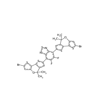 CC1(C)Oc2cc(Br)sc2-c2sc(-c3c(F)c(F)c(-c4cc5c(s4)-c4sc(Br)cc4OC5(C)C)c4nsnc34)cc21